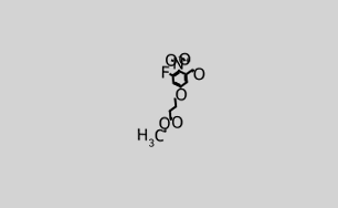 CCOC(=O)CCCOc1cc(F)c([N+](=O)[O-])c(C=O)c1